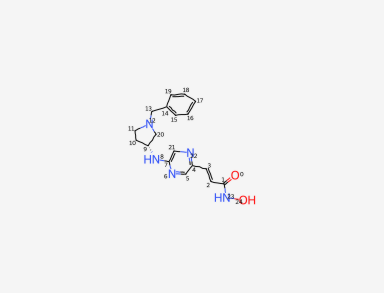 O=C(C=Cc1cnc(N[C@@H]2CCN(Cc3ccccc3)C2)cn1)NO